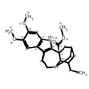 CCC1CC2CN3CCc4c([nH]c5cc(OC)c(OC)cc45)[C@](C(=O)OC)(C2)C13